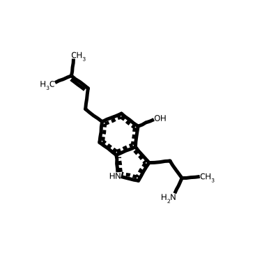 CC(C)=CCc1cc(O)c2c(CC(C)N)c[nH]c2c1